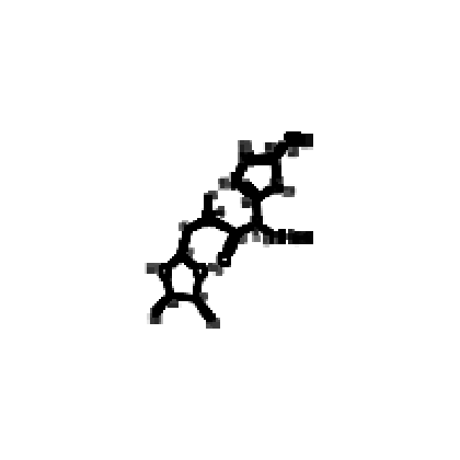 CCCCCCN(C(=O)N(C)CC1OC(C)C(C)O1)c1nnc(C(C)(C)C)s1